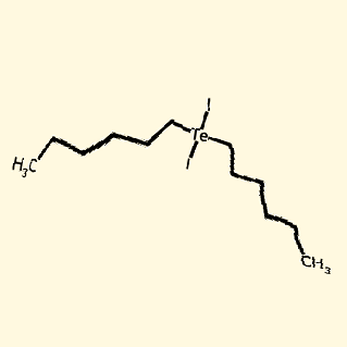 CCCCCC[Te](I)(I)CCCCCC